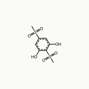 CS(=O)(=O)c1cc(O)c(S(C)(=O)=O)c(O)c1